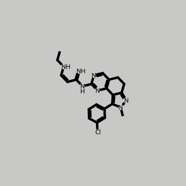 CCN/C=C\C(=N)Nc1ncc2c(n1)-c1c(nn(C)c1-c1cccc(Cl)c1)CC2